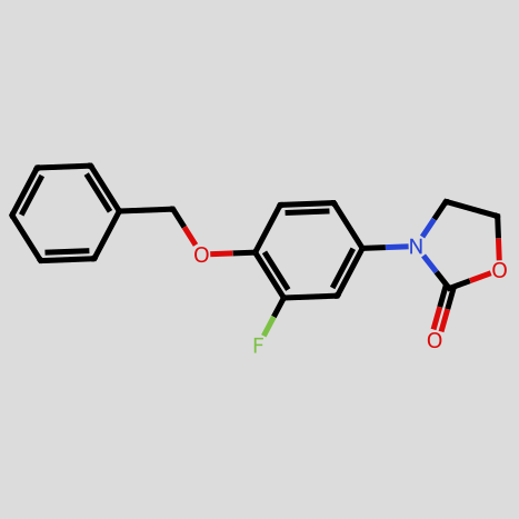 O=C1OCCN1c1ccc(OCc2ccccc2)c(F)c1